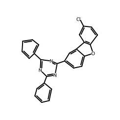 Clc1ccc2oc3ccc(-c4nc(-c5ccccc5)nc(-c5ccccc5)n4)cc3c2c1